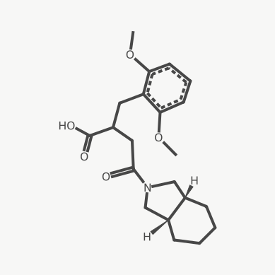 COc1cccc(OC)c1CC(CC(=O)N1C[C@H]2CCCC[C@H]2C1)C(=O)O